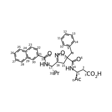 CC(=O)[C@H](CC(=O)O)NC(=O)C1(Cc2ccccc2)CC([C@@H](NC(=O)c2ccc3ccccc3c2)C(C)C)=NO1